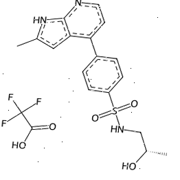 Cc1cc2c(-c3ccc(S(=O)(=O)NC[C@H](C)O)cc3)ccnc2[nH]1.O=C(O)C(F)(F)F